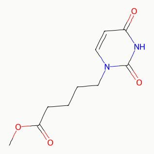 COC(=O)CCCCn1ccc(=O)[nH]c1=O